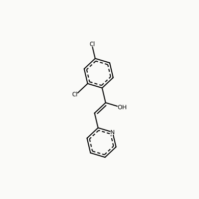 OC(=Cc1ccccn1)c1ccc(Cl)cc1Cl